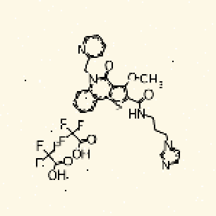 COc1c(C(=O)NCCCn2ccnc2)sc2c1c(=O)n(Cc1ccccn1)c1ccccc21.O=C(O)C(F)(F)F.O=C(O)C(F)(F)F